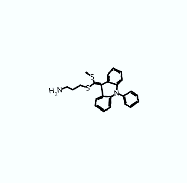 CSC(SCCCN)=C1c2ccccc2N(c2ccccc2)c2ccccc21